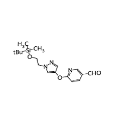 CC(C)(C)[Si](C)(C)OCCn1cc(Oc2ccc(C=O)cn2)cn1